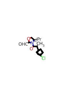 CC(C)[C@@H]1COC(C=O)N1C(=O)[C@H](C)c1ccc(Cl)cc1